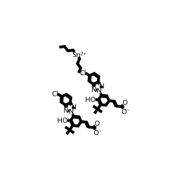 CC(C)(C)C1=C(O)C(n2nc3ccc(Cl)cc3n2)=CC(C=CC(=O)[O-])C1.CC(C)(C)C1=C(O)C(n2nc3ccc(Cl)cc3n2)=CC(C=CC(=O)[O-])C1.CCC[CH2][Sn+2][CH2]CCC